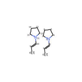 CCC=CN1CCCC1.CCC=CN1CCCC1